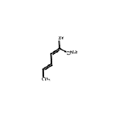 C/C=C/C=C(\OC)C(C)C